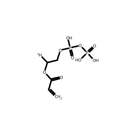 [2H]C(COP(=O)(O)OP(=O)(O)O)OC(=O)C=C